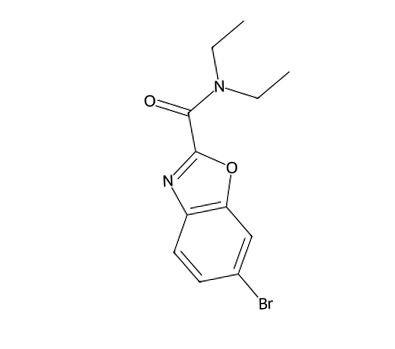 CCN(CC)C(=O)c1nc2ccc(Br)cc2o1